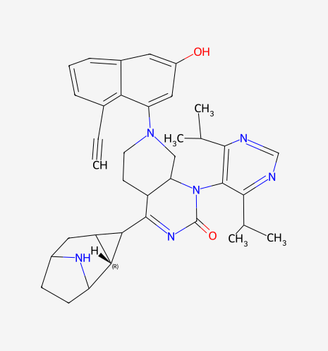 C#Cc1cccc2cc(O)cc(N3CCC4C(C5C6CC7CCC(N7)[C@H]65)=NC(=O)N(c5c(C(C)C)ncnc5C(C)C)C4C3)c12